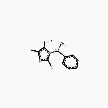 CCOC(=O)c1c(F)nc(Cl)n1[C@H](C)c1ccccc1